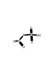 O=[N+]([O-])[N]S(=O)(=O)O